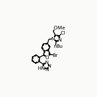 CCCCc1nc(Cl)c(COC)n1Cc1ccc2c(-c3ccccc3-c3nnn[nH]3)oc(Br)c2c1